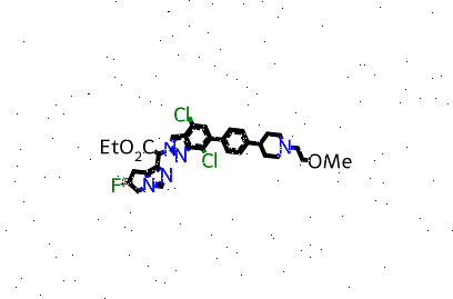 CCOC(=O)C(c1ncn2c1C[C@@H](F)C2)n1cc2c(Cl)cc(-c3ccc(C4CCN(CCOC)CC4)cc3)c(Cl)c2n1